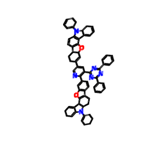 C1=CCCC(N2c3ccc4c(c3C3=CC=CCC32)OC2C=C(c3cnc(-c5ccc6c7c(oc6c5)C5C6=CCCC=C6N(C6=CCCCC6)C5CC7)c(-c5nc(-c6ccccc6)nc(-c6ccccc6)n5)c3)CCC42)=C1